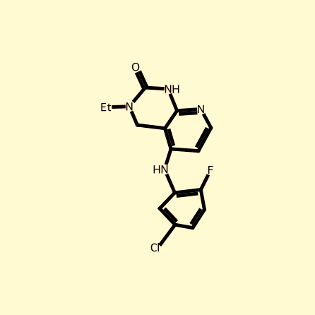 CCN1Cc2c(Nc3cc(Cl)ccc3F)ccnc2NC1=O